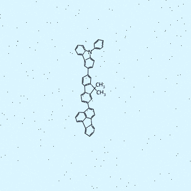 CC1(C)c2cc(-c3ccc4c(c3)c3ccccc3n4-c3ccccc3)ccc2-c2ccc(-c3ccc4c5c(cccc35)-c3ccccc3-4)cc21